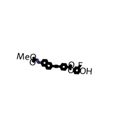 COC(=O)/C=C/c1ccc2cc(C#Cc3ccc(C(=O)Oc4ccc(O)c(F)c4)cc3)ccc2c1